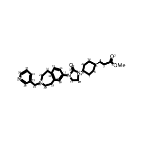 COC(=O)CC[C@H]1CC[C@H](N2CCN(c3ccc4c(c3)CCN(Cc3cccnc3)CC4)C2=O)CC1